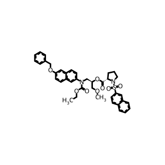 CCOC(=O)N(C[C@H](COC)OC(=O)[C@@H]1CCCN1S(=O)(=O)c1ccc2ccccc2c1)c1ccc2cc(OCc3ccccc3)ccc2c1